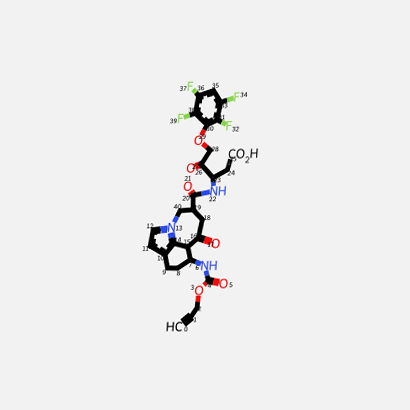 C#CCOC(=O)NC1CCc2ccn3c2C1C(=O)CC(C(=O)NC(CC(=O)O)C(=O)COc1c(F)c(F)cc(F)c1F)C3